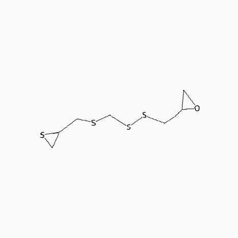 C(SCC1CS1)SSCC1CO1